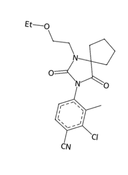 CCOCCN1C(=O)N(c2ccc(C#N)c(Cl)c2C)C(=O)C12CCCC2